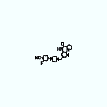 N#Cc1ccc(N2CCN(Cc3cnc4c(c3)NC(=O)C3CCCN43)CC2)cc1F